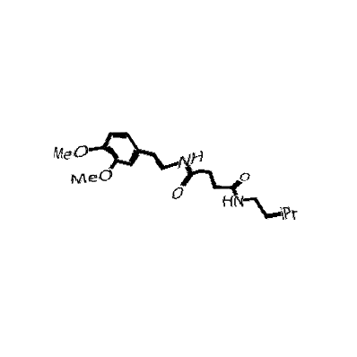 COc1ccc(CCNC(=O)CCC(=O)NCCC(C)C)cc1OC